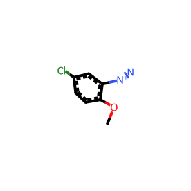 COc1ccc(Cl)cc1[N+]#N